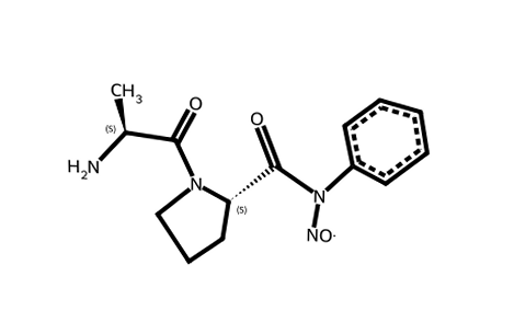 C[C@H](N)C(=O)N1CCC[C@H]1C(=O)N([N+]=O)c1ccccc1